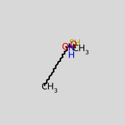 CCCCCCCCCCCCCCCCCCCCCC(=O)C(CS)NC(C)=O